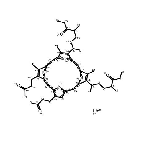 CCC(=O)C(C)CCC(C)C1=C(C)c2cc3[n-]c(cc4nc(cc5[n-]c(cc1n2)cc5CCC(C)=O)C(CCC(C)=O)=C4C)c(C)c3C(C)SCC(C)C(=O)CC.[Fe+2]